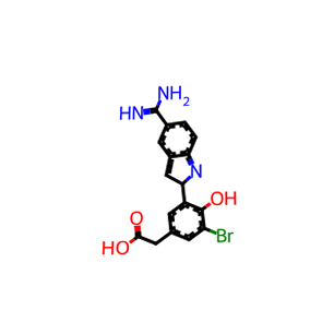 N=C(N)c1ccc2c(c1)=CC(c1cc(CC(=O)O)cc(Br)c1O)N=2